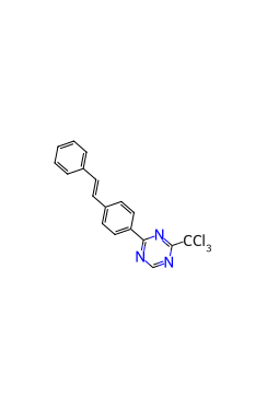 ClC(Cl)(Cl)c1ncnc(-c2ccc(C=Cc3ccccc3)cc2)n1